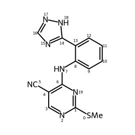 CSc1ncc(C#N)c(Nc2ccccc2-c2ncn[nH]2)n1